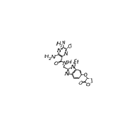 CCn1c(CNC(=O)c2nc(Cl)c(N)nc2N)nc2ccc(OC3CCOC3=O)cc21